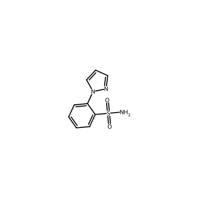 NS(=O)(=O)c1ccccc1-n1cccn1